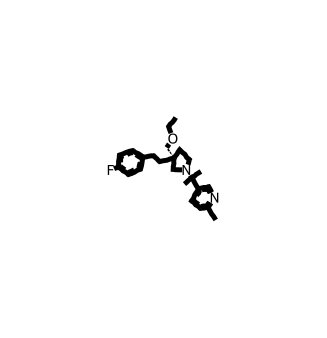 CCOC[C@]1(CCc2ccc(F)cc2)CCN(C(C)(C)c2ccc(C)nc2)C1